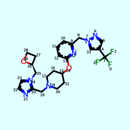 FC(F)(F)c1cnn(Cc2cccc(OC3CCN(Cc4nccn4C[C@@H]4CCO4)CC3)n2)c1